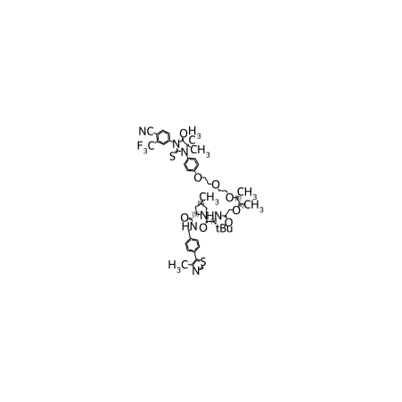 Cc1ncsc1-c1ccc(CNC(=O)[C@@H]2C[C@@H](C)CN2C(=O)[C@@H](NC(=O)CO[C@H](C)[C@@H](C)OCCOCCOc2ccc(N3C(=S)N(c4ccc(C#N)c(C(F)(F)F)c4)C(=O)C3(C)C)cc2)C(C)(C)C)cc1